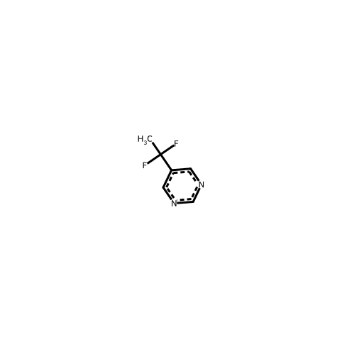 CC(F)(F)c1cncnc1